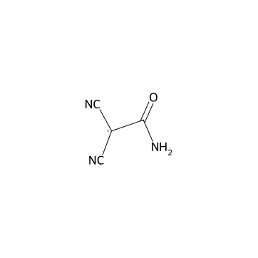 N#C[C](C#N)C(N)=O